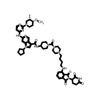 CO[C@@H]1CCN(c2nccc(Nc3cc4c(cn3)c(C(=O)NC3CCN(C(=O)N5CCN(CCCCNc6cccc7c6C(=O)N(C6CCC(=O)NC6=O)C7=O)CC5)CC3)cn4C3CCCC3)n2)C[C@@H]1F